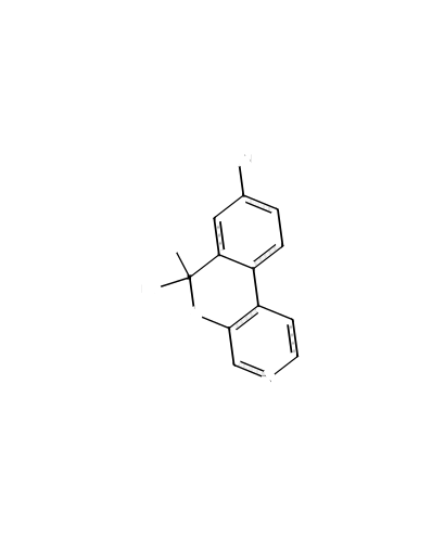 CC1(C)Oc2cnccc2-c2ccc(C#N)cc21